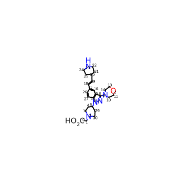 O=C(O)CN1CCC(n2nc(N3CCOCC3)c3cc(C=CC4CCNCC4)ccc32)CC1